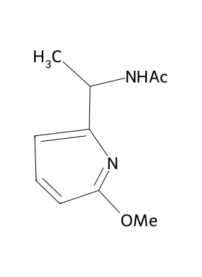 COc1cccc(C(C)NC(C)=O)n1